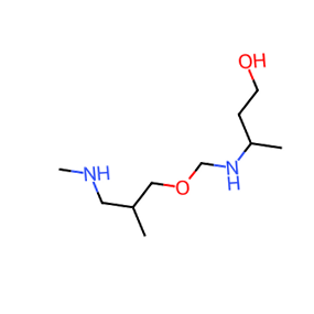 CNCC(C)COCNC(C)CCO